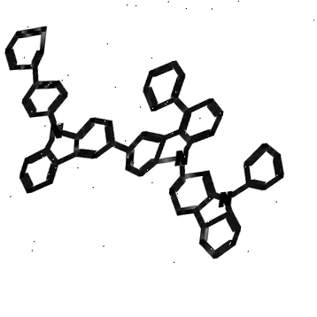 c1ccc(-c2ccc(-n3c4ccccc4c4cc(-c5ccc6c(c5)c5c(-c7ccccc7)cccc5n6-c5ccc6c7ccccc7n(-c7ccccc7)c6c5)ccc43)cc2)cc1